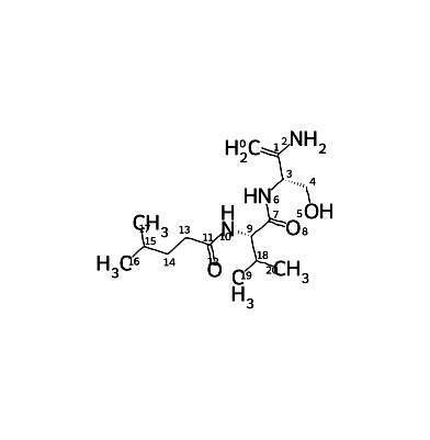 C=C(N)[C@H](CO)NC(=O)[C@@H](NC(=O)CCC(C)C)C(C)C